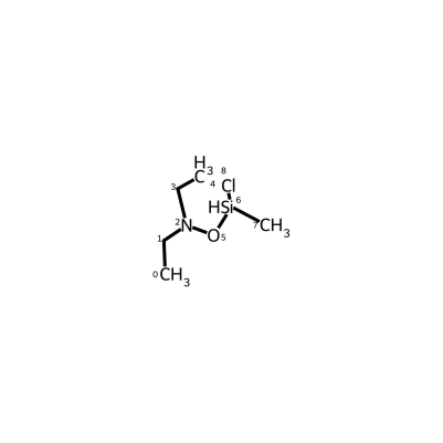 CCN(CC)O[SiH](C)Cl